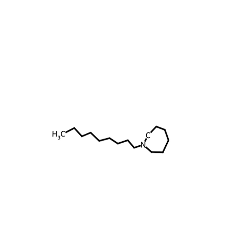 CCCCCCCCCN1CCCCCC1